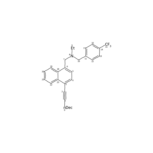 CCCCCCCCCCC#Cc1ccc(CN(CC)Cc2ccc(C(F)(F)F)cc2)c2ccccc12